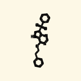 O=S(=O)(c1ccccc1)c1c[nH]c2c(OCCc3ccccc3)ncnc12